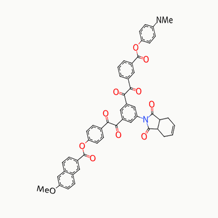 CNc1ccc(OC(=O)c2cccc(C(=O)C(=O)c3cc(C(=O)C(=O)c4ccc(OC(=O)c5ccc6cc(OC)ccc6c5)cc4)cc(N4C(=O)C5CC=CCC5C4=O)c3)c2)cc1